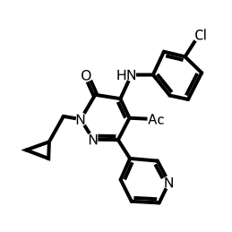 CC(=O)c1c(-c2cccnc2)nn(CC2CC2)c(=O)c1Nc1cccc(Cl)c1